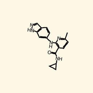 Cc1ccc(C(=O)NC2CC2)c(Nc2ccc3cn[nH]c3c2)n1